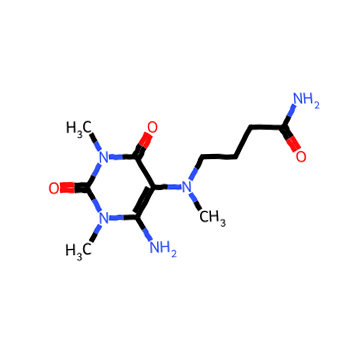 CN(CCCC(N)=O)c1c(N)n(C)c(=O)n(C)c1=O